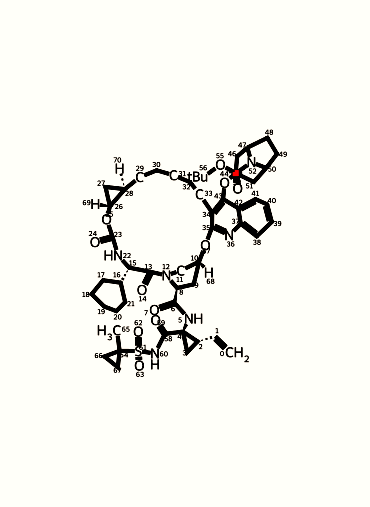 C=C[C@@H]1C[C@]1(NC(=O)[C@@H]1C[C@@H]2CN1C(=O)[C@H](C1CCCCC1)NC(=O)O[C@@H]1C[C@H]1CCCCCc1c(nc3ccccc3c1OC1CC3CCC(C1)N3C(=O)OC(C)(C)C)O2)C(=O)NS(=O)(=O)C1(C)CC1